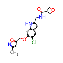 Cc1cc(COc2cc3[nH]c(CNC(=O)C4COC4)cc3cc2Cl)on1